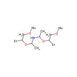 CCC(OC(C)NC(C)OC(CC)[SiH2]OC(C)(C)C)[SiH2]OC(C)(C)C